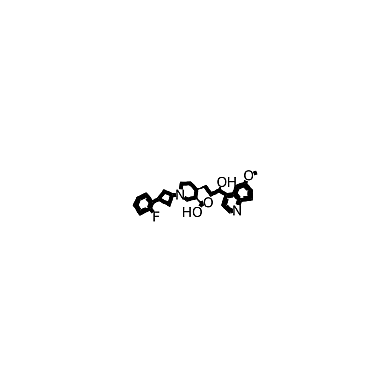 COc1ccc2nccc([C@H](O)CC[C@@H]3CCN(C4CC(c5ccccc5F)C4)C[C@@H]3C(=O)O)c2c1